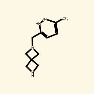 FC(F)(F)C1=CC=C(CN2CC3(CNC3)C2)NN1